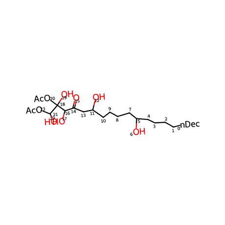 CCCCCCCCCCCCCCC(O)CCCCC(O)CC(=O)C(O)C(O)(OC(C)=O)C(O)OC(C)=O